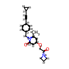 Cc1cc(OCC(=O)N2CCC2)cc(=O)n1Cc1ccc(C#CC2CC2)cc1